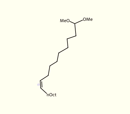 CCCCCCCC/C=C\CCCCCCCC(OC)OC